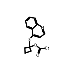 CCC(=O)OC1(Sc2ccnc3ccccc23)CCC1